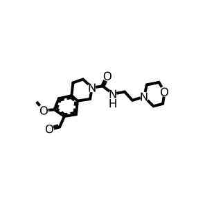 COc1cc2c(cc1C=O)CN(C(=O)NCCN1CCOCC1)CC2